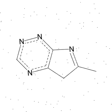 CC1=Nc2nncnc2C1